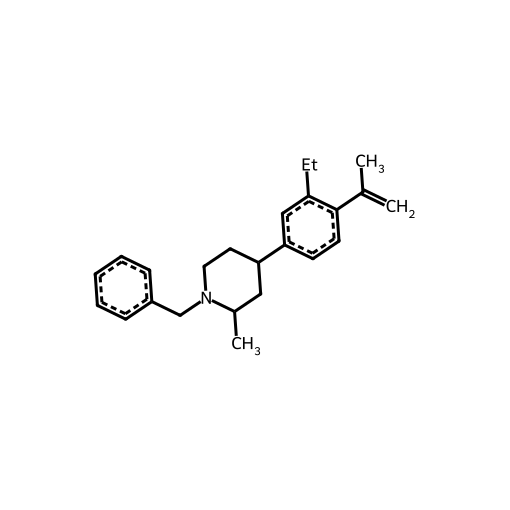 C=C(C)c1ccc(C2CCN(Cc3ccccc3)C(C)C2)cc1CC